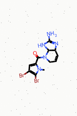 Cn1c(C(=O)N2CC=CC3N=C(N)NC32)cc(Br)c1Br